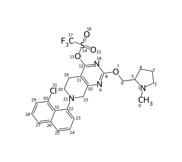 CN1CCCC1COc1nc2c(c(OS(=O)(=O)C(F)(F)F)n1)CCN(c1cccc3cccc(Cl)c13)C2